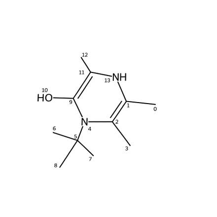 CC1=C(C)N(C(C)(C)C)C(O)=C(C)N1